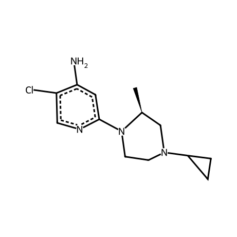 C[C@H]1CN(C2CC2)CCN1c1cc(N)c(Cl)cn1